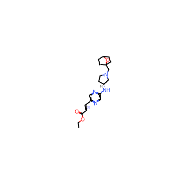 CCOC(=O)/C=C/c1cnc(N[C@@H]2CCN(CC34CCC(CC3)O4)C2)cn1